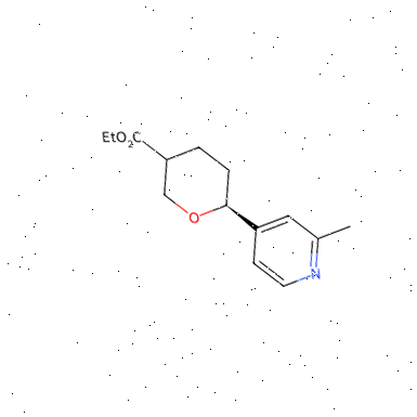 CCOC(=O)C1CC[C@@H](c2ccnc(C)c2)OC1